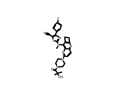 CN(c1nc(-c2ccc(F)cc2)c(C#N)s1)c1c2c(nc3ccc(N4CCN(C(=O)C(C)(C)O)CC4)nc13)CC2